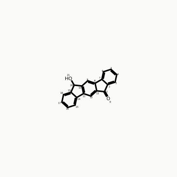 O=C1c2ccccc2-c2cc3c(cc21)-c1ccccc1C3O